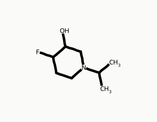 CC(C)N1CCC(F)C(O)C1